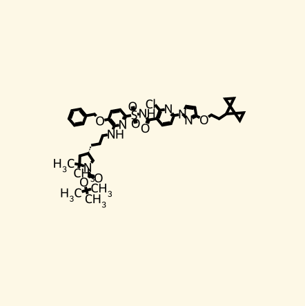 CC(C)(C)OC(=O)N1C[C@@H](CCCNc2nc(S(=O)(=O)NC(=O)c3ccc(-n4ccc(OCCC5C6(CC6)C56CC6)n4)nc3Cl)ccc2OCc2ccccc2)CC1(C)C